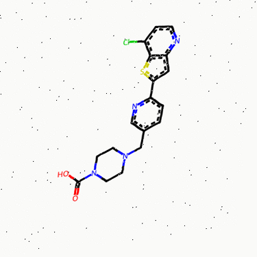 O=C(O)N1CCN(Cc2ccc(-c3cc4nccc(Cl)c4s3)nc2)CC1